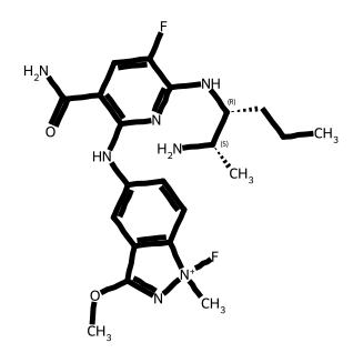 CCC[C@@H](Nc1nc(Nc2ccc3c(c2)C(OC)=N[N+]3(C)F)c(C(N)=O)cc1F)[C@H](C)N